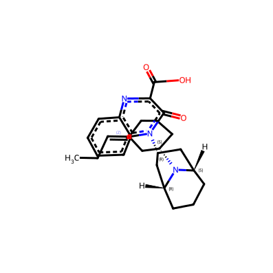 CC/C=C1/CCC[C@H](N2[C@@H]3CCC[C@H]2C[C@@H](n2c(=O)c(C(=O)O)nc4ccccc42)C3)C1